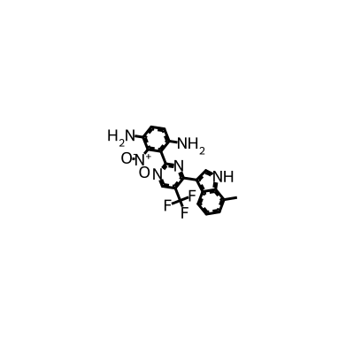 Cc1cccc2c(-c3nc(-c4c(N)ccc(N)c4[N+](=O)[O-])ncc3C(F)(F)F)c[nH]c12